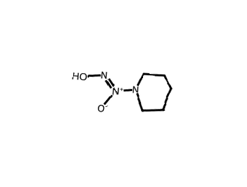 [O-][N+](=NO)N1CCCCC1